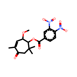 COC1C=C(C)C(=O)CC(C)(C)C1OC(=O)c1ccc([N+](=O)[O-])c([N+](=O)[O-])c1